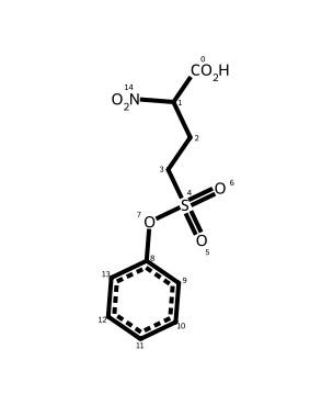 O=C(O)C(CCS(=O)(=O)Oc1ccccc1)[N+](=O)[O-]